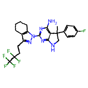 CC1(c2ccc(F)cc2)CNc2nc(-n3nc(CCC(F)(F)C(F)(F)F)c4c3CCCC4)nc(N)c21